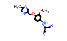 COc1cc(NN=C(C#N)C#N)ccc1OCc1cnc(C)cn1